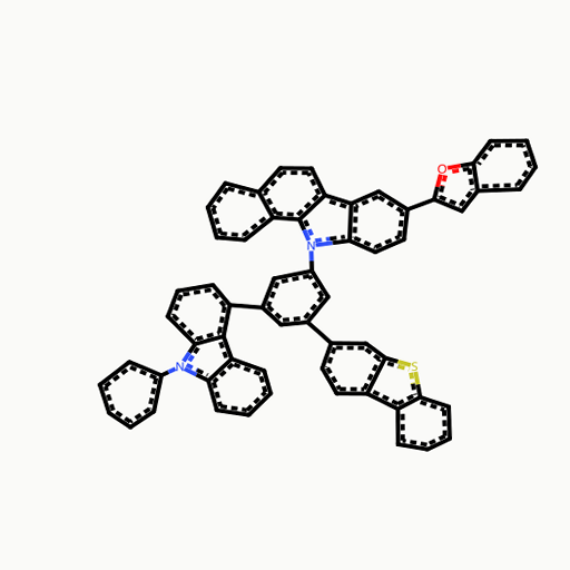 c1ccc(-n2c3ccccc3c3c(-c4cc(-c5ccc6c(c5)sc5ccccc56)cc(-n5c6ccc(-c7cc8ccccc8o7)cc6c6ccc7ccccc7c65)c4)cccc32)cc1